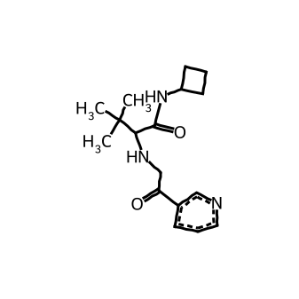 CC(C)(C)C(NCC(=O)c1cccnc1)C(=O)NC1CCC1